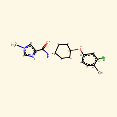 Cn1cnc(C(=O)N[C@H]2CC[C@H](Oc3ccc(C#N)c(Br)c3)CC2)c1